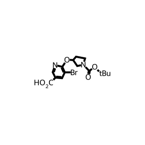 CC(C)(C)OC(=O)N1CCC(Oc2ncc(C(=O)O)cc2Br)C1